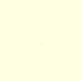 C=Cc1ccc(N(CC2CO2)CC2CO2)cc1